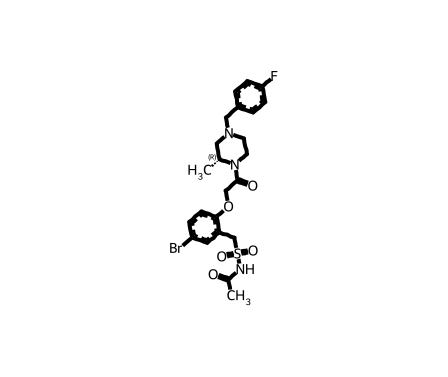 CC(=O)NS(=O)(=O)Cc1cc(Br)ccc1OCC(=O)N1CCN(Cc2ccc(F)cc2)C[C@H]1C